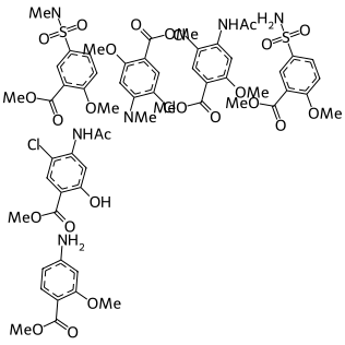 CNS(=O)(=O)c1ccc(OC)c(C(=O)OC)c1.CNc1cc(OC)c(C(=O)OC)cc1Cl.COC(=O)c1cc(Cl)c(NC(C)=O)cc1O.COC(=O)c1cc(Cl)c(NC(C)=O)cc1OC.COC(=O)c1cc(S(N)(=O)=O)ccc1OC.COC(=O)c1ccc(N)cc1OC